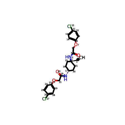 C#C[C@]1(NC(=O)COc2ccc(Cl)cc2)CC[C@@H](NC(=O)COc2ccc(Cl)cc2)CC1